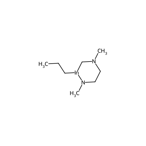 CC[CH2][In]1[CH2]N(C)CC[N]1C